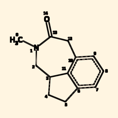 CN1CC2CCc3cccc(c32)CC1=O